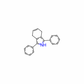 C1=CCc2c(-c3ccccc3)[nH]c(-c3ccccc3)c2C1